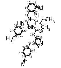 CCC(C)C(CN(Cc1cccc(Cl)c1Cl)C(=S)Nc1ccc(C)cc1)NC(=O)Cc1cncn1Cc1ccc(C#N)cc1